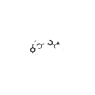 COc1ccc(C(=O)NCC(F)(F)F)c(N2CCC(COc3cc(C(CC(=O)O)C4CC4)ccn3)CC2)c1